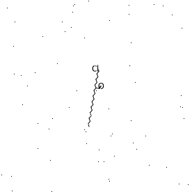 CCCCCCCCCCCCCCC(C=O)CCCCCCCl